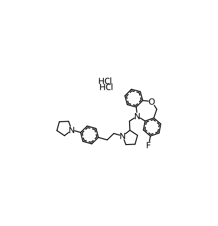 Cl.Cl.Fc1ccc2c(c1)N(CC1CCCN1CCc1ccc(N3CCCC3)cc1)c1ccccc1OC2